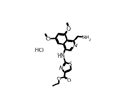 CCOC(=O)c1csc(Nc2cnc(CN)c3c(OC)cc(OC)cc23)n1.Cl